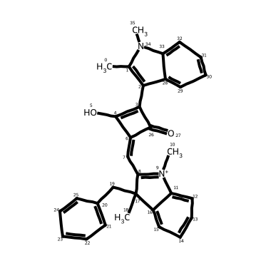 Cc1c(C2=C(O)/C(=C/C3=[N+](C)c4ccccc4C3(C)Cc3ccccc3)C2=O)c2ccccc2n1C